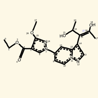 CCOC(=O)c1cn(-c2ccn3ncc(/C(=C(\C)O)C(C)O)c3c2)nc1OC